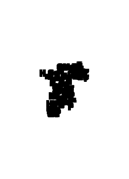 C=C[C@H]1COc2c(Cl)c(-c3ccc(F)c4sc(NC(=O)OC(C)(C)C)c(C#N)c34)c(F)c3nc(OC[C@@]45CCCN4C[C@H](F)C5)nc(c23)N1CCOC